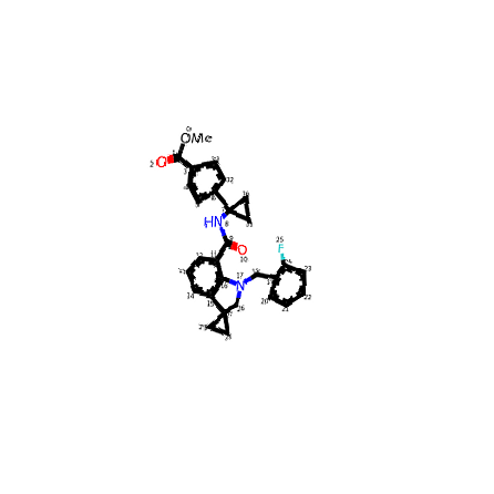 COC(=O)c1ccc(C2(NC(=O)c3cccc4c3N(Cc3ccccc3F)CC43CC3)CC2)cc1